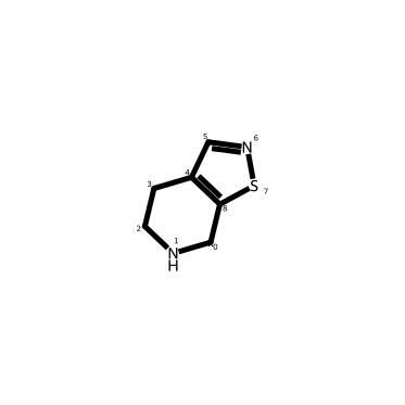 [C]1NCCc2cnsc21